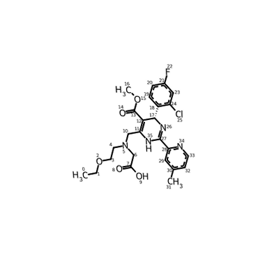 CCOCCN(CC(=O)O)CC1=C(C(=O)OC)[C@H](c2ccc(F)cc2Cl)N=C(c2cc(C)ccn2)N1